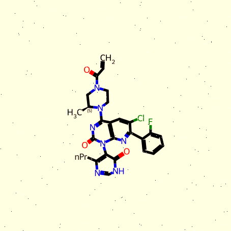 C=CC(=O)N1CCN(c2nc(=O)n(-c3c(CCC)nc[nH]c3=O)c3nc(-c4ccccc4F)c(Cl)cc23)[C@@H](C)C1